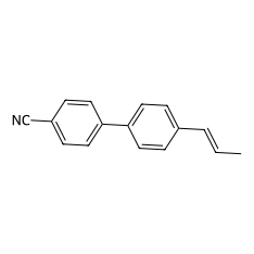 CC=Cc1ccc(-c2ccc(C#N)cc2)cc1